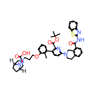 Cc1c(OCCCN2C[C@H]3CC[C@@H](C2)N3CC(=O)O)cccc1-c1ccc(N2CCc3cccc(C(=O)Nc4nc5ccccc5s4)c3C2)nc1C(=O)OC(C)(C)C